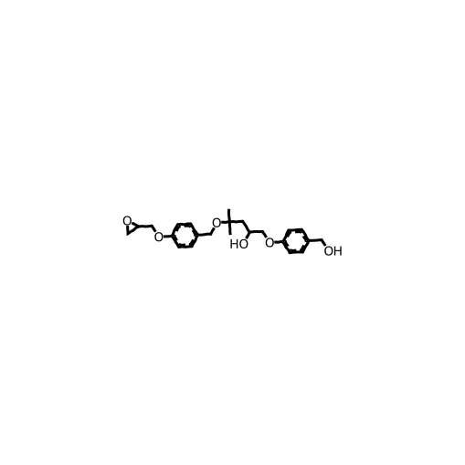 CC(C)(CC(O)COc1ccc(CO)cc1)OCc1ccc(OCC2CO2)cc1